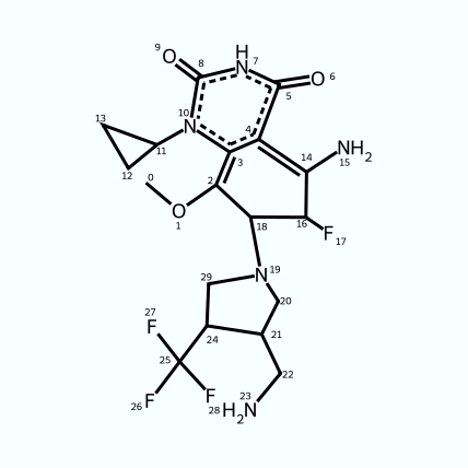 COC1=c2c(c(=O)[nH]c(=O)n2C2CC2)=C(N)C(F)C1N1CC(CN)C(C(F)(F)F)C1